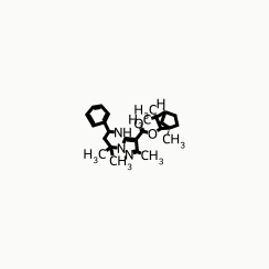 Cc1nn2c(c1C(=O)OC1C(C)(C)[C@H]3CC[C@]1(C)C3)NC(c1ccccc1)CC2(C)C